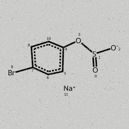 O=S([O-])Oc1ccc(Br)cc1.[Na+]